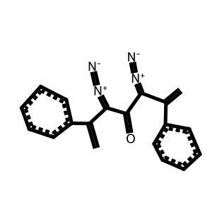 C=C(C(=[N+]=[N-])C(=O)C(=[N+]=[N-])C(=C)c1ccccc1)c1ccccc1